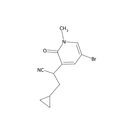 Cn1cc(Br)cc(C(C#N)CC2CC2)c1=O